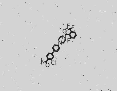 CN(C)C(=O)c1ccc(-c2ccc(N3CCN(C(=O)c4c(F)cccc4C(F)(F)F)CC3)cc2)cc1Cl